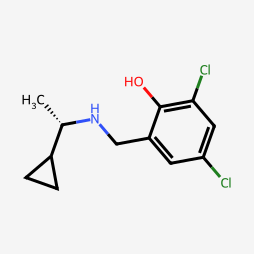 C[C@H](NCc1cc(Cl)cc(Cl)c1O)C1CC1